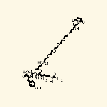 NC(=O)NCCC[C@H](N)C(=O)N[C@@H](CCCCNC(=O)CCOCCOCCOCCOCCOCCNC(=O)CN1C(=O)C=CC1=O)C(=O)N[C@@H](Cc1ccc(O)cc1)C(=O)O